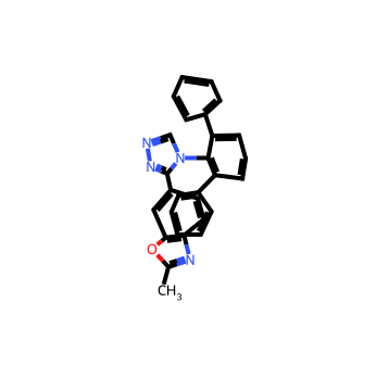 Cc1nc2ccc(-c3nncn3-c3c(-c4ccccc4)cccc3-c3ccccc3)cc2o1